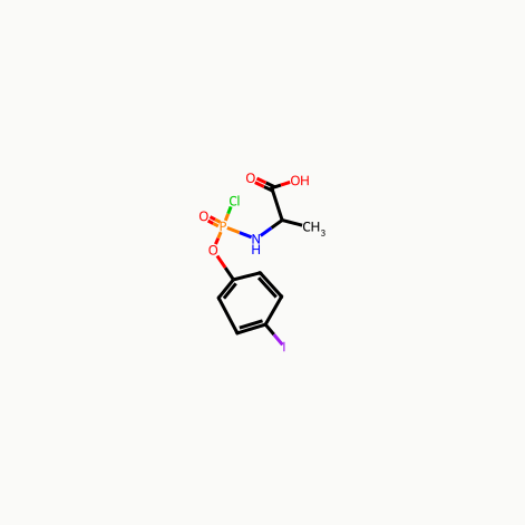 CC(NP(=O)(Cl)Oc1ccc(I)cc1)C(=O)O